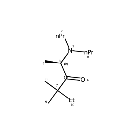 CCCN(CCC)[C@H](C)C(=O)C(C)(C)CC